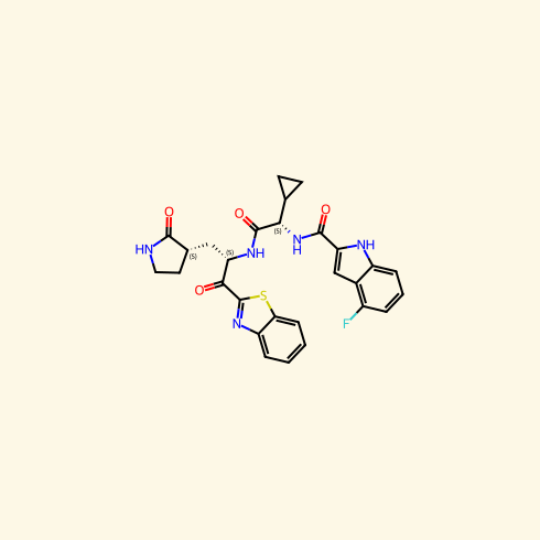 O=C(N[C@H](C(=O)N[C@@H](C[C@@H]1CCNC1=O)C(=O)c1nc2ccccc2s1)C1CC1)c1cc2c(F)cccc2[nH]1